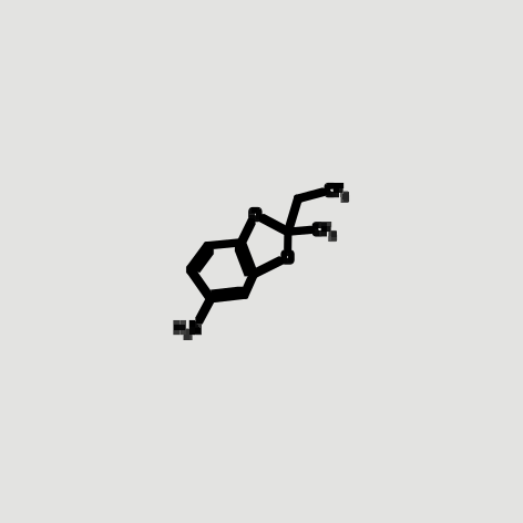 Nc1ccc2c(c1)OC(CC(F)(F)F)(C(F)(F)F)O2